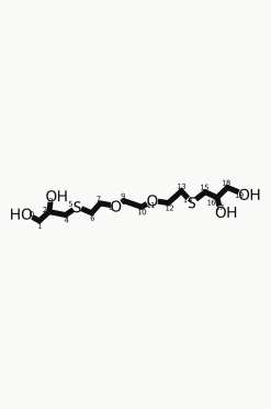 OCC(O)CSCCOCCOCCSCC(O)CO